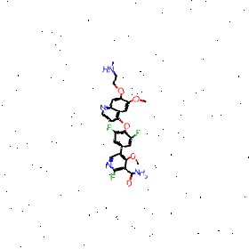 CNCCOc1cc2nccc(Oc3c(F)cc(-c4cnc(F)c(C(N)=O)c4OC)cc3F)c2cc1OC